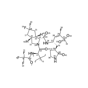 CC(C)(C)[C@@H](NC(=O)C(F)(F)F)C(=O)N1C[C@@H]2CC(F)(F)C[C@@H]2[C@@H]1C(=O)N[C@H](/C=C(/F)S(C)(=O)=O)C[C@@H]1CCNC1=O